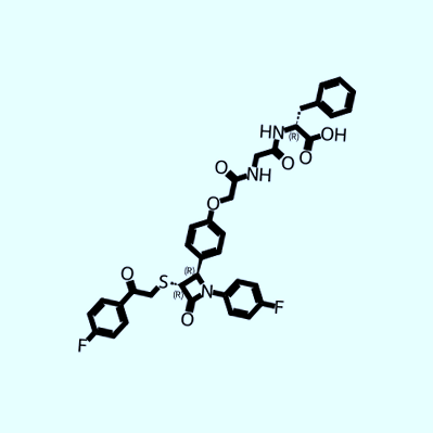 O=C(COc1ccc([C@@H]2[C@@H](SCC(=O)c3ccc(F)cc3)C(=O)N2c2ccc(F)cc2)cc1)NCC(=O)N[C@H](Cc1ccccc1)C(=O)O